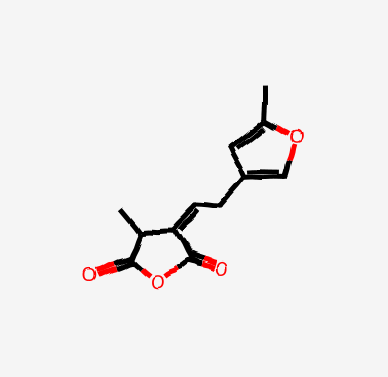 Cc1cc(CC=C2C(=O)OC(=O)C2C)co1